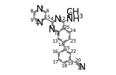 CNc1nc(-c2cnccn2)nc2cc(-c3cccc(C#N)c3)ccc12